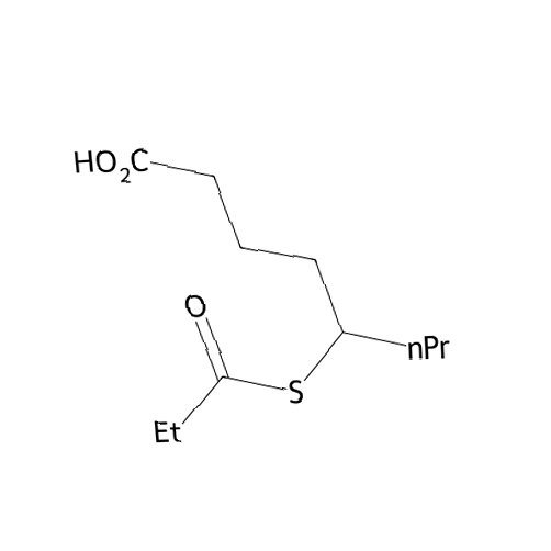 CCCC(CCCC(=O)O)SC(=O)CC